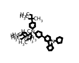 CC/C=C\C(C)(N(c1ccc(-c2ccc3c(c2)c2ccccc2n3-c2ccccc2)cc1)c1ccc(C(C)(CC)CC)cc1)C(C)(/C=C\CC)C(C)(CC)CC